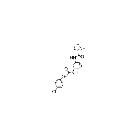 O=C(COc1ccc(Cl)cc1)N[C@H]1C[C@@H](NC(=O)C2CCCN2)C2CC21